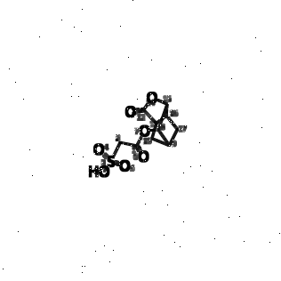 O=C(CS(=O)(=O)O)OC1C2CC3C(=O)OC1C3C2